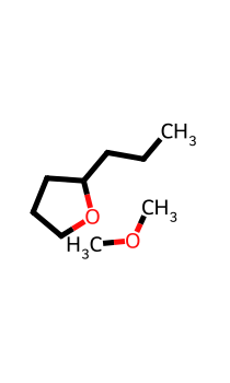 CCCC1CCCO1.COC